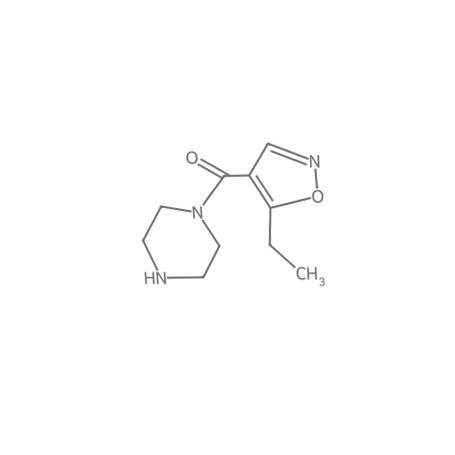 CCc1oncc1C(=O)N1CCNCC1